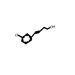 OCCC#Cc1cccc(Cl)c1